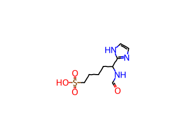 O=CNC(CCCCS(=O)(=O)O)c1ncc[nH]1